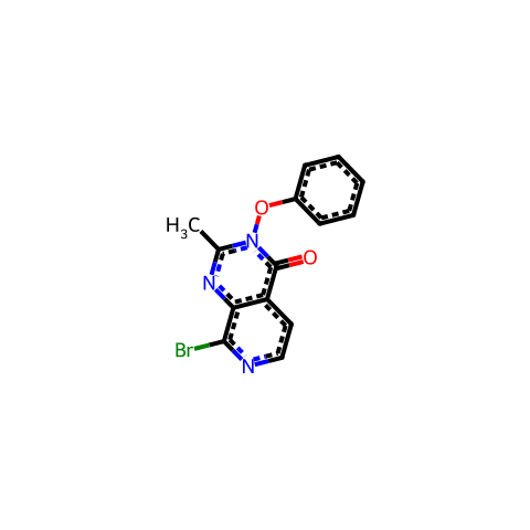 Cc1nc2c(Br)nccc2c(=O)n1Oc1ccccc1